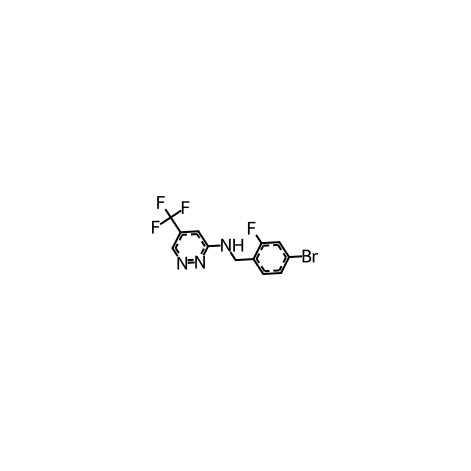 Fc1cc(Br)ccc1CNc1cc(C(F)(F)F)cnn1